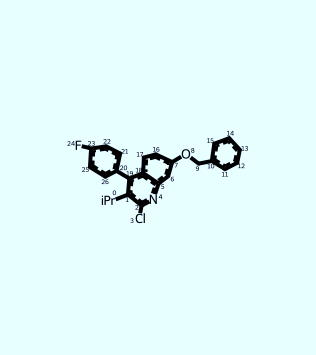 CC(C)c1c(Cl)nc2cc(OCc3ccccc3)ccc2c1-c1ccc(F)cc1